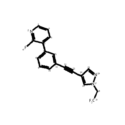 Fc1ncccc1-c1cccc(C#Cc2cnn(CC(F)(F)F)c2)c1